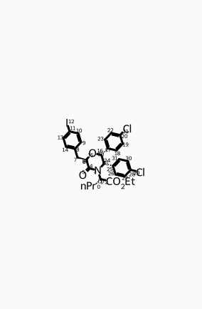 CCC[C@@H](C(=O)OCC)N1C(=O)[C@@H](Cc2ccc(I)cc2)O[C@H](c2ccc(Cl)cc2)[C@@H]1c1ccc(Cl)cc1